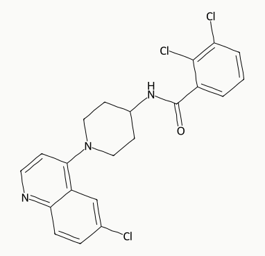 O=C(NC1CCN(c2ccnc3ccc(Cl)cc23)CC1)c1cccc(Cl)c1Cl